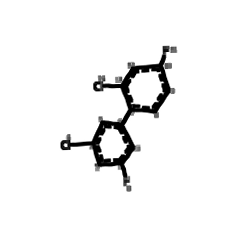 Fc1[c]c(Cl)cc(-c2ccc(F)cc2Cl)c1